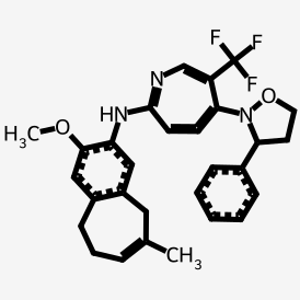 COc1cc2c(cc1NC1=NC=C(C(F)(F)F)C(N3OCCC3c3ccccc3)=C=C1)CC(C)=CCC2